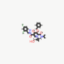 CC(C)N1C[C@]2(C[C@@H]2CO)n2cc(C(=O)NCc3ccc(F)cc3F)c(=O)c(OCc3ccccc3)c2C1=O